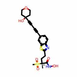 C[C@@](CCc1nc2ccc(C#CC#CC3(O)CCOCC3)cc2s1)(C(=O)NO)S(C)(=O)=O